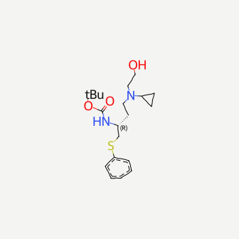 CC(C)(C)OC(=O)N[C@H](CCN(CCO)C1CC1)CSc1ccccc1